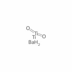 [BaH2].[O]=[Ti]=[O].[Ti]